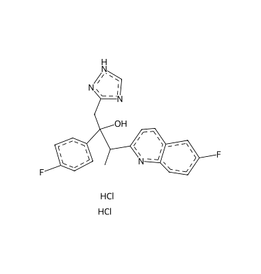 CC(c1ccc2cc(F)ccc2n1)C(O)(Cc1nc[nH]n1)c1ccc(F)cc1.Cl.Cl